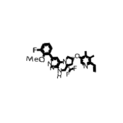 C=Cc1ncc(O[C@H]2CN3c4cc(-c5cccc(F)c5OC)nnc4NC[C@]3(C(F)F)C2)c(C)c1C